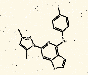 Cc1cc(C)n(-c2nc(Nc3ccc(I)cc3)c3ccsc3n2)n1